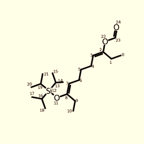 CC/C(=C\CCC/C=C(\CC)O[Si](C(C)C)(C(C)C)C(C)C)OC=O